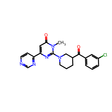 Cn1c(N2CCCC(C(=O)c3cccc(Cl)c3)C2)nc(-c2ccncn2)cc1=O